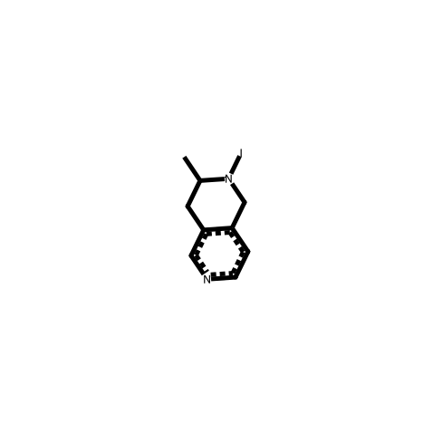 CC1Cc2cnccc2CN1I